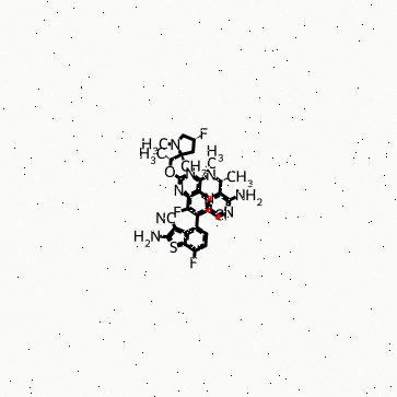 C[C@H](c1nccnc1N)N(C)c1nc(O[C@H](C)[C@@]2(C)C[C@@H](F)CN2C)nc2c(F)c(-c3ccc(F)c4sc(N)c(C#N)c34)c(Cl)cc12